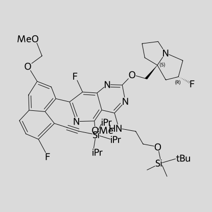 COCOc1cc(-c2nc(OC)c3c(NCCO[Si](C)(C)C(C)(C)C)nc(OC[C@@]45CCCN4C[C@H](F)C5)nc3c2F)c2c(C#C[Si](C(C)C)(C(C)C)C(C)C)c(F)ccc2c1